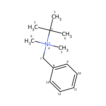 CC(C)(C)[N+](C)(C)Cc1ccccc1